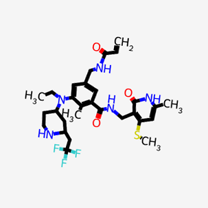 C=CC(=O)NCc1cc(C(=O)NCc2c(SC)cc(C)[nH]c2=O)c(C)c(N(CC)C2CCNC(CC(F)(F)F)C2)c1